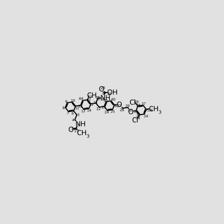 CC(=O)NCCc1ccccc1-c1ccc(C(CNC(=O)O)Cc2ccc(OCCOc3c(Cl)cc(C)cc3Cl)cc2)c(C)c1